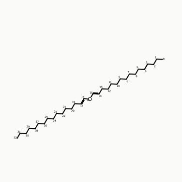 CCCCCCCCCCCCCC/C=C/O/C=C/CCCCCCCCCCCCCC